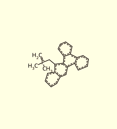 C=P(C)(C)Cc1c2ccccc2cc2c3ccccc3c3ccccc3c12